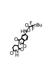 CCCCC(F)(F)C(=O)ONc1ccc2c(c1)C(=O)N(C1CCC(=O)NC1=O)C2=O